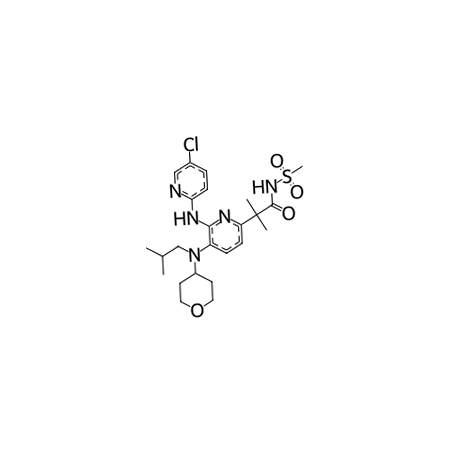 CC(C)CN(c1ccc(C(C)(C)C(=O)NS(C)(=O)=O)nc1Nc1ccc(Cl)cn1)C1CCOCC1